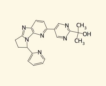 CC(C)(O)c1ncc(-c2ccc3nc4n(c3n2)C(c2ccccn2)CC4)cn1